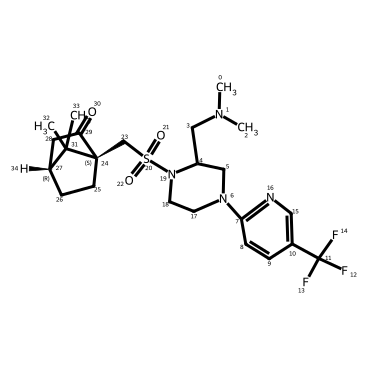 CN(C)CC1CN(c2ccc(C(F)(F)F)cn2)CCN1S(=O)(=O)C[C@]12CC[C@H](CC1=O)C2(C)C